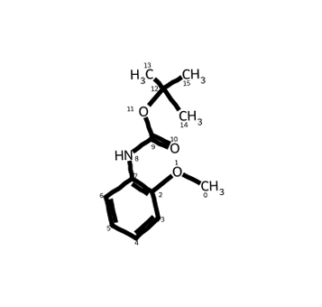 COc1[c]cccc1NC(=O)OC(C)(C)C